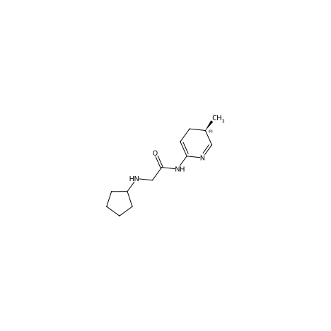 C[C@H]1C=NC(NC(=O)CNC2CCCC2)=CC1